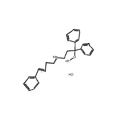 CCCOC(CCNCC/C=C/c1ccccc1)(c1ccccc1)c1ccccc1.Cl